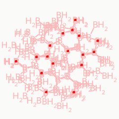 BB(B)B(B)B(B(B)B)B(B(B(B(B)B)B(B)B)B(B(B)B)B(B)B)B(B(B(B(B(B)B)B(B)B)B(B(B)B)B(B)B)B(B(B(B)B)B(B)B)B(B(B)B)B(B)B)B(B(B(B(B(B)B)B(B)B)B(B(B)B)B(B)B)B(B(B(B)B)B(B)B)B(B(B)B)B(B)B)B(B(B(B(B)B)B(B)B)B(B(B)B)B(B)B)B(B(B(B)B)B(B)B)B(B(B)B)B(B)B